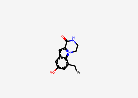 CC(C)Cc1cc(O)cc2cc3n(c12)CCNC3=O